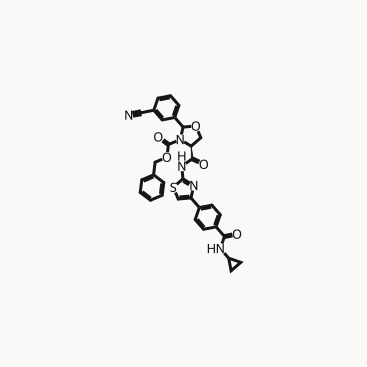 N#Cc1cccc(C2OC[C@@H](C(=O)Nc3nc(-c4ccc(C(=O)NC5CC5)cc4)cs3)N2C(=O)OCc2ccccc2)c1